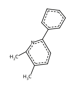 [CH2]c1nc(-c2ccccc2)ccc1C